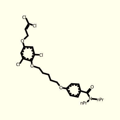 CCCN(CCC)C(=O)c1ccc(OCCCCCOc2c(Cl)cc(OCC=C(Cl)Cl)cc2Cl)cc1